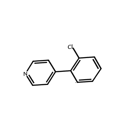 Clc1ccc[c]c1-c1ccncc1